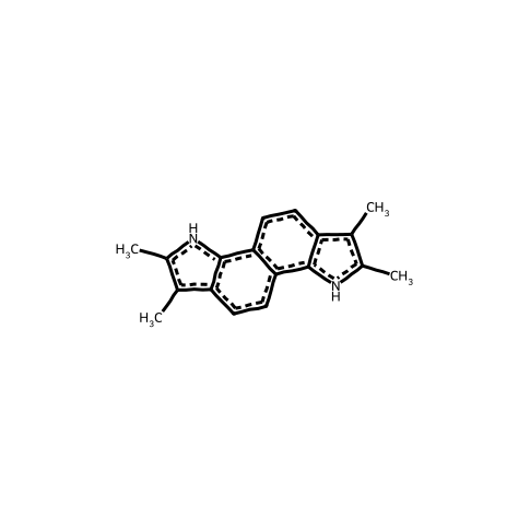 Cc1[nH]c2c(ccc3c2ccc2c(C)c(C)[nH]c23)c1C